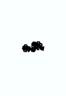 CC(C)S(=O)(=O)c1ccc(-c2cccc(-n3cc(C(=O)NC4CC4)c(=O)c4cccnc43)c2)cn1